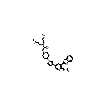 COCCN(CCOC)C(=O)CN1CCC(n2cc(-c3cnc(N)c(-c4nc5ccccc5s4)c3)cn2)CC1